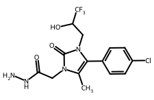 Cc1c(-c2ccc(Cl)cc2)n(CC(O)C(F)(F)F)c(=O)n1CC(=O)NN